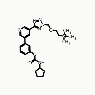 C[Si](C)(C)CCOCn1nnc(-c2cncc(-c3cccc(OC(=O)NC4CCCC4)c3)c2)n1